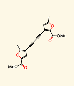 COC(=O)c1cc(C#CC#Cc2cc(C)oc2C(=O)OC)c(C)o1